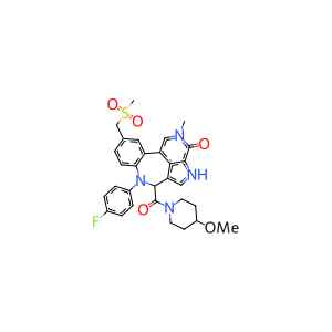 COC1CCN(C(=O)C2c3c[nH]c4c(=O)n(C)cc(c34)-c3cc(CS(C)(=O)=O)ccc3N2c2ccc(F)cc2)CC1